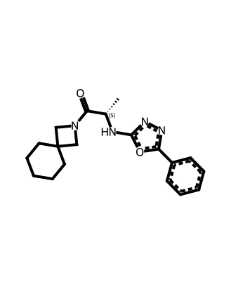 C[C@H](Nc1nnc(-c2ccccc2)o1)C(=O)N1CC2(CCCCC2)C1